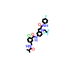 CC(C)C(=O)NCc1ccc(Cl)c(C(=O)Nc2ccc3c(c2)cc(C(=O)Nc2ccc(F)cc2)n3CC(F)(F)F)c1